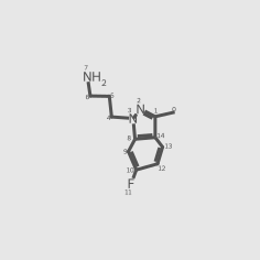 Cc1nn(CCCN)c2cc(F)ccc12